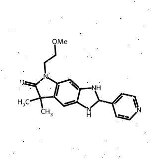 COCCN1C(=O)C(C)(C)c2cc3c(cc21)NC(c1ccncc1)N3